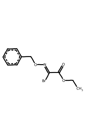 CCOC(=O)/C(Br)=N/OCc1ccccc1